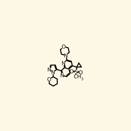 CS(=O)(=O)C1(c2cc(N3CCOCC3)nc3c(-c4ccnn4C4CCCCO4)nccc23)CC1